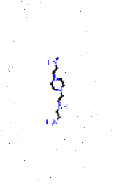 CNCCN1CCN(CCNCCN)CC1